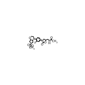 CC(=O)NCC1CN(c2ccc(N3CCOC4CN(S(C)(=O)=O)CC43)c(F)c2)C(=O)O1